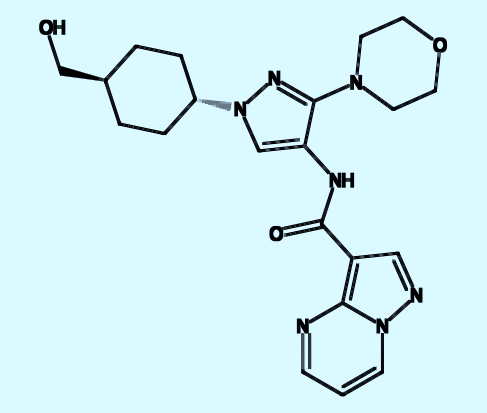 O=C(Nc1cn([C@H]2CC[C@H](CO)CC2)nc1N1CCOCC1)c1cnn2cccnc12